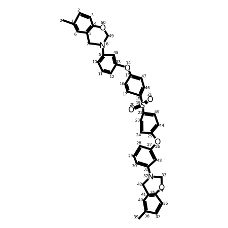 Cc1ccc2c(c1)CN(c1cccc(Oc3ccc(S(=O)(=O)c4ccc(Oc5cccc(N6COc7ccc(C)cc7C6)c5)cc4)cc3)c1)CO2